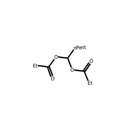 CCCCCC(OC(=O)CC)OC(=O)CC